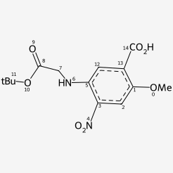 COc1cc([N+](=O)[O-])c(NCC(=O)OC(C)(C)C)cc1C(=O)O